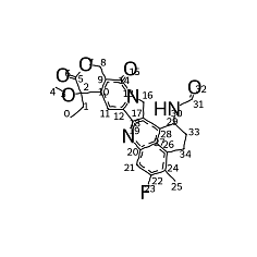 CCC1(OC)C(=O)OCc2c1cc1n(c2=O)Cc2c-1nc1cc(F)c(C)c3c1c2C(NC=O)CC3